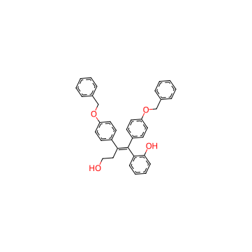 OCCC(=C(c1ccc(OCc2ccccc2)cc1)c1ccccc1O)c1ccc(OCc2ccccc2)cc1